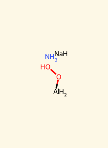 N.O[O][AlH2].[NaH]